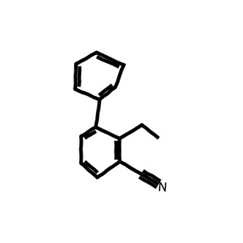 CCc1c(C#N)cccc1-c1ccccc1